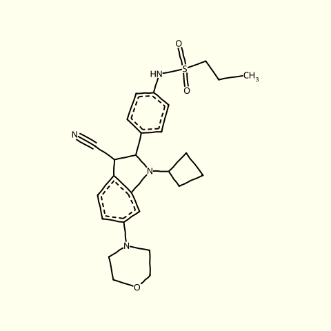 CCCS(=O)(=O)Nc1ccc(C2C(C#N)c3ccc(N4CCOCC4)cc3N2C2CCC2)cc1